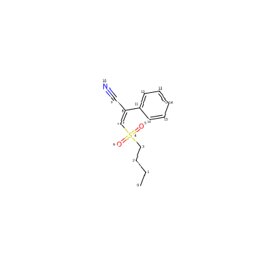 CCCCS(=O)(=O)/C=C(/C#N)c1ccccc1